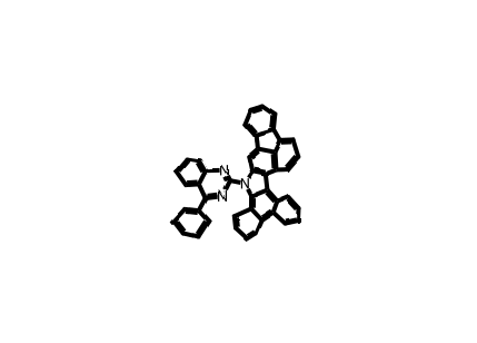 c1ccc(-c2nc(-n3c4cc5c6c(cccc6c4c4c6ccccc6c6ccccc6c43)-c3ccccc3-5)nc3ccccc23)cc1